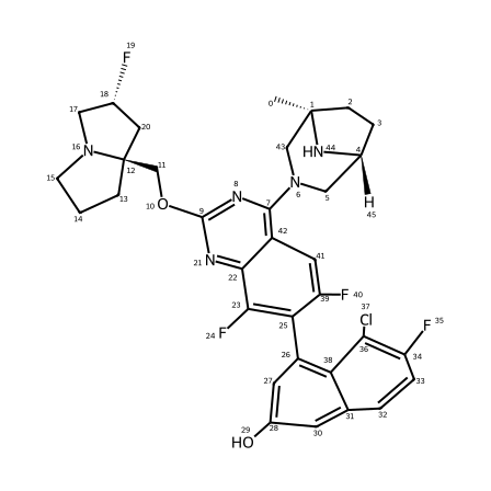 C[C@@]12CC[C@H](CN(c3nc(OC[C@@]45CCCN4C[C@H](F)C5)nc4c(F)c(-c5cc(O)cc6ccc(F)c(Cl)c56)c(F)cc34)C1)N2